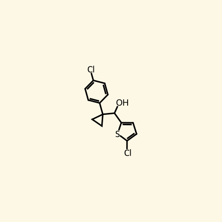 OC(c1ccc(Cl)s1)C1(c2ccc(Cl)cc2)CC1